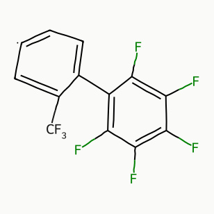 Fc1c(F)c(F)c(-c2cc[c]cc2C(F)(F)F)c(F)c1F